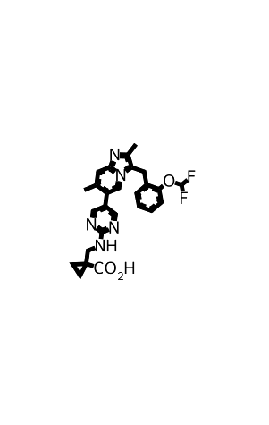 Cc1cc2nc(C)c(Cc3ccccc3OC(F)F)n2cc1-c1cnc(NCC2(C(=O)O)CC2)nc1